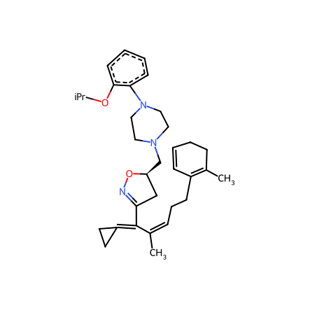 CC1=C(CC/C=C(/C)C(C2=NO[C@@H](CN3CCN(c4ccccc4OC(C)C)CC3)C2)=C2CC2)C=CCC1